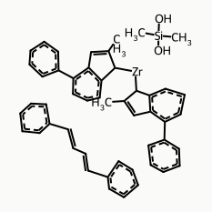 C(C=Cc1ccccc1)=Cc1ccccc1.CC1=Cc2c(-c3ccccc3)cccc2[CH]1[Zr][CH]1C(C)=Cc2c(-c3ccccc3)cccc21.C[Si](C)(O)O